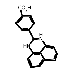 O=C(O)c1ccc(C2Nc3cccc4cccc(c34)N2)cc1